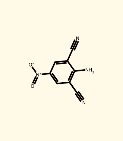 N#Cc1cc([N+](=O)[O-])cc(C#N)c1N